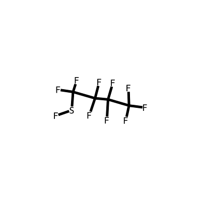 FSC(F)(F)C(F)(F)C(F)(F)C(F)(F)F